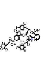 C#CC(C)Oc1cc(N2C(=O)C3=C(CCCC3)C2=O)c(F)cc1Cl.C/C(=N\NC(=O)Nc1cc(F)cc(F)c1)c1ncccc1C(=O)O.CP(=O)(O)CCC(N)C(=O)O